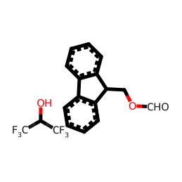 O=COCC1c2ccccc2-c2ccccc21.OC(C(F)(F)F)C(F)(F)F